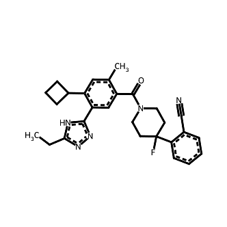 CCc1nnc(-c2cc(C(=O)N3CCC(F)(c4ccccc4C#N)CC3)c(C)cc2C2CCC2)[nH]1